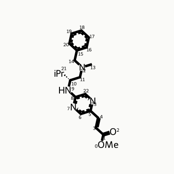 COC(=O)/C=C/c1cnc(N[C@@H](CN(C)Cc2ccccc2)C(C)C)cn1